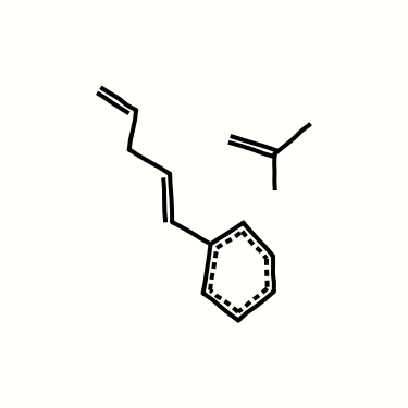 C=C(C)C.C=CCC=Cc1ccccc1